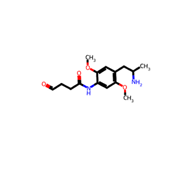 COc1cc(NC(=O)CCC=O)c(OC)cc1CC(C)N